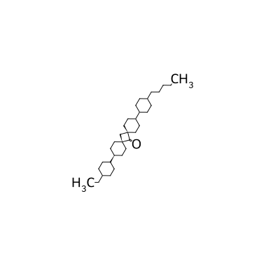 CCCCCC1CCC(C2CC[C@]3(CC2)C[C@@]2(CC[C@H](C4CCC(CC)CC4)CC2)C3=O)CC1